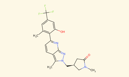 Cc1cc(C(F)(F)F)cc(O)c1-c1ccc2c(C)n(C[C@H]3CC(=O)N(C)C3)nc2n1